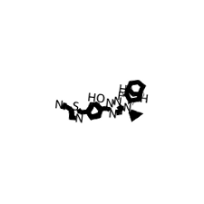 N#Cc1cnc(-c2ccc(-c3ncc(N(C4CC4)[C@@H]4C[C@H]5CCC[C@H](C5)[C@@H]4F)nn3)c(O)c2)s1